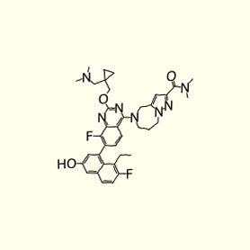 CCc1c(F)ccc2cc(O)cc(-c3ccc4c(N5CCCn6nc(C(=O)N(C)C)cc6C5)nc(OCC5(CN(C)C)CC5)nc4c3F)c12